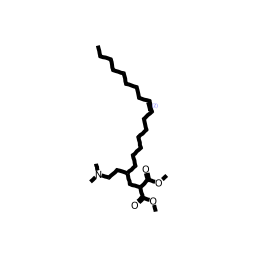 CCCCCCCC/C=C\CCCCCCC(CCN(C)C)CC(C(=O)OC)C(=O)OC